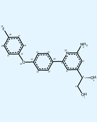 Nc1cc([C@H](O)CO)cc(-c2ccc(Oc3ccc(F)cc3)cc2)n1